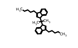 CCCCCC1=CC(C(C)(C)C2C=C(CCCCC)c3ccccc32)c2ccccc21